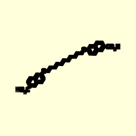 O=C(O)c1ccc2cc(OCCCCCCCCCCCOc3ccc4cc(C(=O)O)ccc4c3)ccc2c1